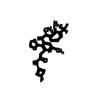 Cc1nc(CC(=O)N[C@H]2C[C@H](F)C2)c(C2OCCO2)c(N[C@H](C)c2cccc(C(F)(F)F)c2C)n1